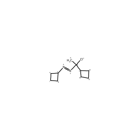 CC(Cl)(N=NC1CCC1)C1CCC1